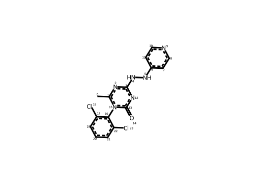 Cc1nc(NNc2ccncc2)nc(=O)n1-c1c(Cl)cccc1Cl